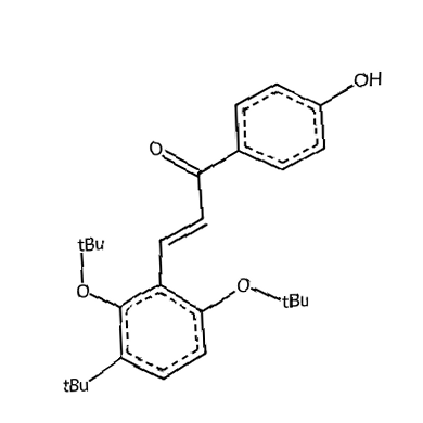 CC(C)(C)Oc1ccc(C(C)(C)C)c(OC(C)(C)C)c1C=CC(=O)c1ccc(O)cc1